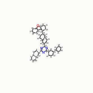 C1=CC2C=CC(c3nc(-c4cccc(-c5ccccc5)c4)nc(-c4ccc5cc(-c6cccc7oc8ccccc8c67)ccc5c4)n3)=CC2C=C1